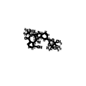 [2H]C([2H])([2H])N1C(=O)c2cccc(O)c2[C@H]2C[C@@H]1c1nc3ccc(B4OC(C)(C)C(C)(C)O4)cc3n12